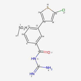 CS(=O)(=O)O.N=C(N)NC(=O)c1cccc(-c2csc(Cl)c2)c1